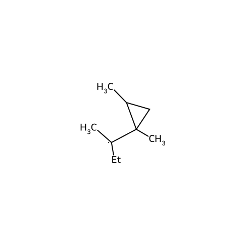 CC[C](C)C1(C)CC1C